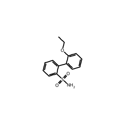 CCOc1ccccc1-c1ccccc1S(N)(=O)=O